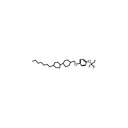 CCCCCCCC1CCC(C2CCC(COc3ccc(OC(F)(F)F)cc3)CC2)CC1